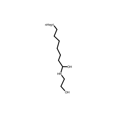 CCCCCCCCCCCCCC(O)NCCO